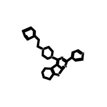 c1ccc(CCN2CCN(c3nc(-c4ccncc4)nc4sc5c(c34)CCCC5)CC2)cc1